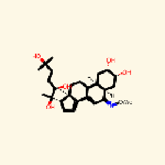 CO/N=C1/C=C2C3=CC[C@H](C(C)(O)[C@H](O)CCC(C)(C)O)[C@@]3(C)CCC2[C@@]2(C)C[C@H](O)[C@H](O)C[C@@H]12